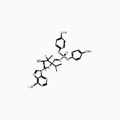 COc1ccc(OP(=O)(OC[C@@]2(C(F)F)O[C@@H](n3cnc4c(N)ncnc43)C(O)C2(F)F)Oc2ccc(OC)cc2)cc1